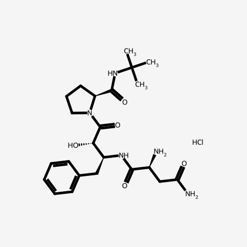 CC(C)(C)NC(=O)[C@@H]1CCCN1C(=O)[C@@H](O)[C@H](Cc1ccccc1)NC(=O)[C@@H](N)CC(N)=O.Cl